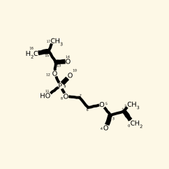 C=C(C)C(=O)OCCOP(=O)(O)OC(=O)C(=C)C